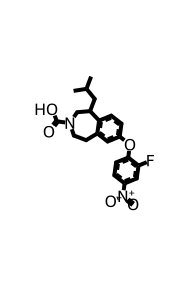 CC(C)CC1CN(C(=O)O)CCc2cc(Oc3ccc([N+](=O)[O-])cc3F)ccc21